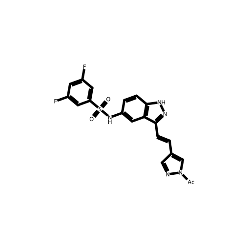 CC(=O)n1cc(/C=C/c2n[nH]c3ccc(NS(=O)(=O)c4cc(F)cc(F)c4)cc23)cn1